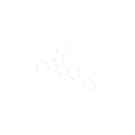 Cc1ccccc1-c1ccc2c3c4ccccc4n4c5ccccc5c(cc2[n+]1C)c34